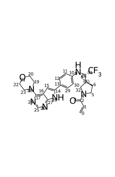 C=CC(=O)N1CC[C@H]([C@H](Nc2ccc(-c3cc4c(N5CCOCC5)ncnc4[nH]3)cc2)C(F)(F)F)C1